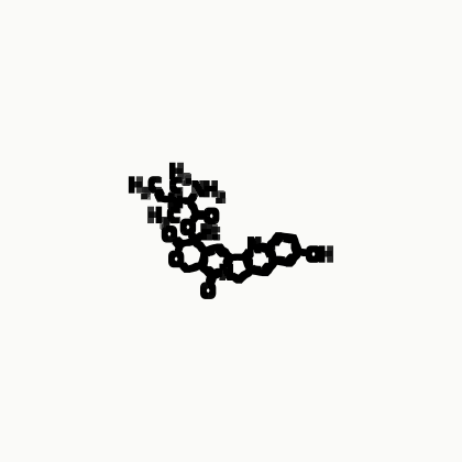 C=C[Si](C)(C)C(N)C(=O)OC1(CC)C(=O)OCc2c1cc1n(c2=O)Cc2cc3cc(O)ccc3nc2-1